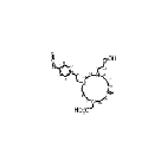 O=C(O)CN1CCCN(CCc2ccc(N=C=S)cc2)CCN(CCSO)CCCNCC1